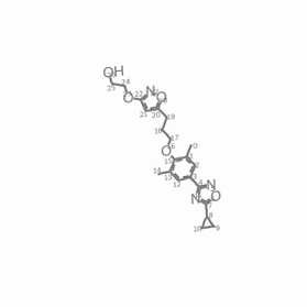 Cc1cc(-c2noc(C3CC3)n2)cc(C)c1OCCCc1cc(OCCO)no1